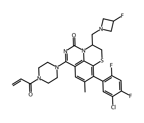 C=CC(=O)N1CCN(c2nc(=O)n3c4c(c(-c5cc(Cl)c(F)cc5F)c(C)cc24)SCC3CN2CC(F)C2)CC1